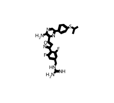 CC(C)Sc1ccc(-c2cnc(N)c(-c3cc(-c4c(F)cc(CNC(=N)N)cc4F)no3)n2)cc1